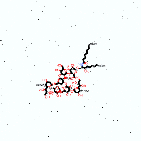 CCCCCCCCCCCCC/C=C/[C@@H](O)[C@H](CO[C@@H]1OC(CO)[C@@H](O[C@@H]2OC(CO)[C@H](O)[C@H](O[C@@H]3OC(CO[C@]4(C(=O)O)CC(O)[C@@H](NC(C)=O)C([C@H](O)[C@H](O)CO)O4)[C@@H](O[C@H]4OC(C)[C@@H](O)C(O)[C@@H]4O)[C@H](O[C@@H]4OC(CO)[C@H](O)[C@H](O[C@]5(C(=O)O)CC(O)[C@@H](NC(C)=O)C([C@H](O)[C@H](O)CO)O5)C4O)C3NC(C)=O)C2O)[C@H](O)C1O)NC(=O)CCCCCCCCCCCCCCCCC